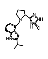 CC(C)c1cc2c(CN3CCCC3c3n[nH]c(=O)[nH]3)cccc2[nH]1